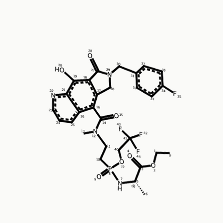 CCOC(=O)[C@H](C)NP(=O)(CCN(C)C(=O)c1c2c(c(O)c3ncccc13)C(=O)N(Cc1ccc(F)cc1)C2)OCC(F)(F)F